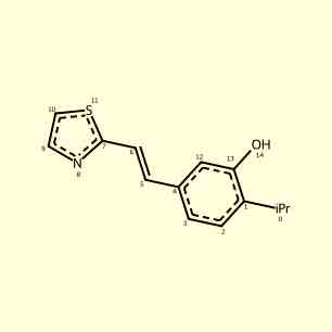 CC(C)c1ccc(/C=C/c2nccs2)cc1O